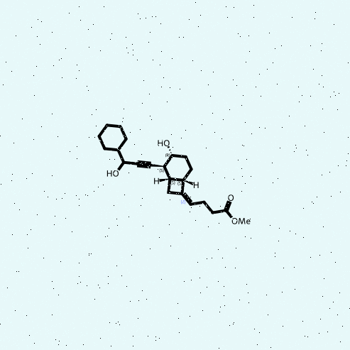 COC(=O)CC/C=C1/C[C@@H]2[C@@H](C#CC(O)C3CCCCC3)[C@H](O)CC[C@H]12